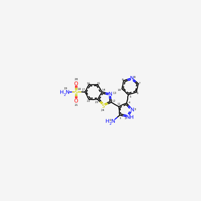 Nc1[nH]nc(-c2ccncc2)c1-c1nc2ccc(S(N)(=O)=O)cc2s1